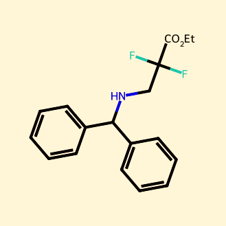 CCOC(=O)C(F)(F)CNC(c1ccccc1)c1ccccc1